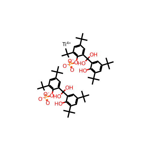 CC(C)(C)c1cc(C(C)(C)C)c(O)c(C(O)(O)c2cc(C(C)(C)C)cc(C(C)(C)C)c2OP(=O)([O-])[O-])c1.CC(C)(C)c1cc(C(C)(C)C)c(O)c(C(O)(O)c2cc(C(C)(C)C)cc(C(C)(C)C)c2OP(=O)([O-])[O-])c1.[Ti+4]